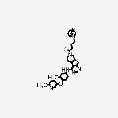 Cc1ccc(Oc2ccc(Nc3ncnc4sc5c(c34)CCN(C(=O)/C=C/CN3CCN4CCC3CC4)C5)cc2C)cn1